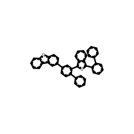 c1ccc(-c2ccccc2-c2oc(-c3cc(-c4ccc5oc6ccccc6c5c4)ccc3-c3ccccc3)c3ccccc23)cc1